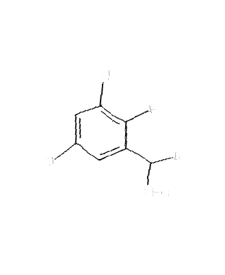 O=CC(Br)c1cc(Cl)cc(Cl)c1F